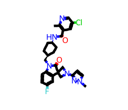 Cc1ncc(Cl)cc1C(=O)N[C@H]1CC[C@H](CN2C(=O)C3(CN(c4ccn(C)n4)C3)c3cc(F)ccc32)CC1